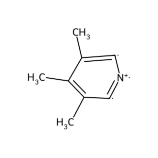 CC1=[C][N+]=[C]C(C)=C1C